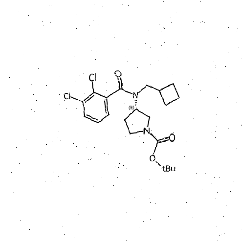 CC(C)(C)OC(=O)N1CC[C@H](N(CC2CCC2)C(=O)c2cccc(Cl)c2Cl)C1